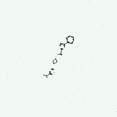 CC(O)c1nnc([C@H]2C[C@H](NC(=O)c3ncc(-c4ccccc4)s3)C2)o1